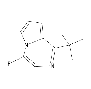 CC(C)(C)c1ncc(F)n2cccc12